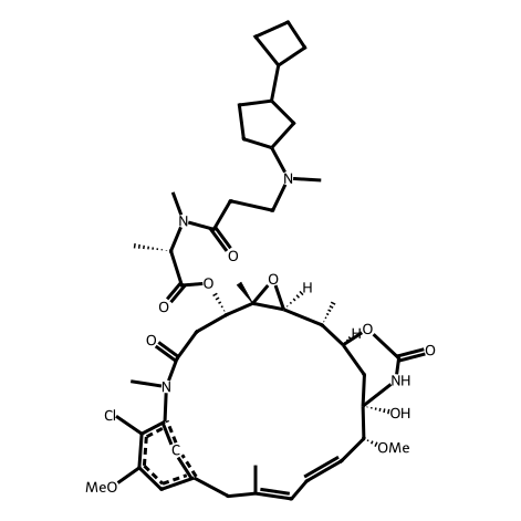 COc1cc2cc(c1Cl)N(C)C(=O)C[C@H](OC(=O)[C@H](C)N(C)C(=O)CCN(C)C1CCC(C3CCC3)C1)[C@]1(C)O[C@H]1[C@H](C)[C@@H]1C[C@@](O)(NC(=O)O1)[C@H](OC)/C=C/C=C(\C)C2